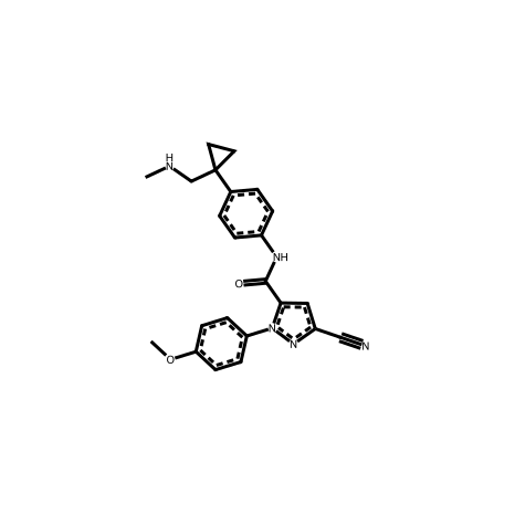 CNCC1(c2ccc(NC(=O)c3cc(C#N)nn3-c3ccc(OC)cc3)cc2)CC1